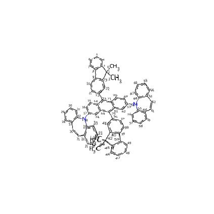 CC1(C)c2ccccc2-c2ccc(-c3c4ccc(N5c6ccccc6C=Cc6ccccc65)cc4c(-c4ccc5c(c4)C(C)(C)c4ccccc4-5)c4cc(N5c6ccccc6C=Cc6ccccc65)ccc34)cc21